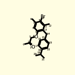 CC(=O)COc1cc(C)c(Br)c(C)c1Cc1ccc(C(C)C)cc1